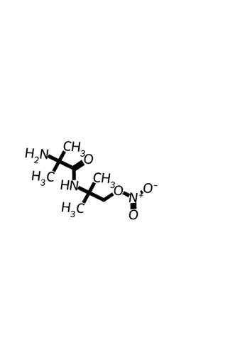 CC(C)(CO[N+](=O)[O-])NC(=O)C(C)(C)N